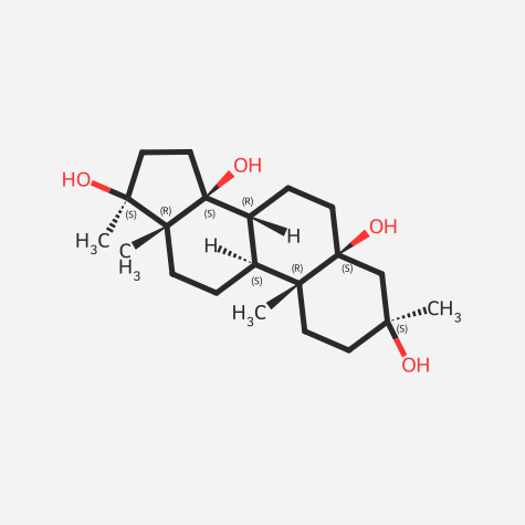 C[C@]1(O)CC[C@]2(C)[C@H]3CC[C@]4(C)[C@@](C)(O)CC[C@]4(O)[C@@H]3CC[C@]2(O)C1